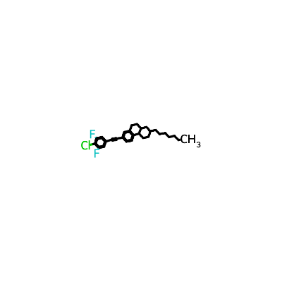 CCCCCCCC1CCC2c3ccc(C#Cc4cc(F)c(Cl)c(F)c4)cc3CCC2C1